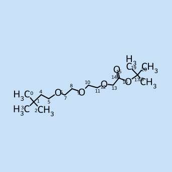 CC(C)(C)CCOCCOCCOCC(=O)OC(C)(C)C